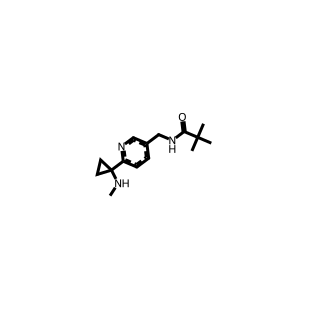 CNC1(c2ccc(CNC(=O)C(C)(C)C)cn2)CC1